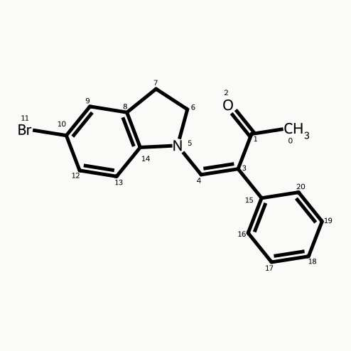 CC(=O)/C(=C\N1CCc2cc(Br)ccc21)c1ccccc1